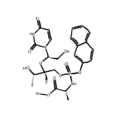 CC(C)OC(=O)[C@H](C)NP(=O)(OC[C@@](F)(O[C@H](CO)n1ccc(=O)[nH]c1=O)[C@H](C)O)Oc1ccc2ccccc2c1